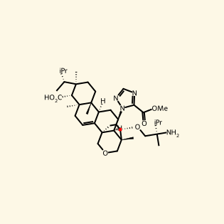 COC(=O)c1ncnn1[C@@H]1C[C@@]23COC[C@](C)([C@@H]2CC[C@H]2C3=CC[C@@]3(C)[C@H](C(=O)O)[C@@](C)([C@H](C)C(C)C)CC[C@]23C)[C@H]1OC[C@](C)(N)C(C)C